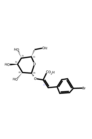 O=C(O)/C(=C\c1ccc(Br)cc1)O[C@H]1O[C@@H](CO)[C@@H](O)[C@H](O)[C@H]1O